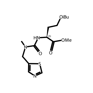 COC(=O)[C@H](CCOCC(C)C)NC(=O)N(C)Cc1cncs1